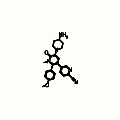 COc1ccc(-c2c(-c3ccc(C#N)nc3)cc(N3CCC(N)CC3)c(=O)n2C)cc1